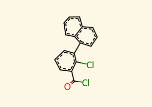 O=C(Cl)c1cccc(-c2cccc3ccccc23)c1Cl